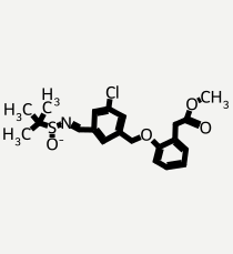 COC(=O)Cc1ccccc1OCc1cc(Cl)cc(/C=N/[S+]([O-])C(C)(C)C)c1